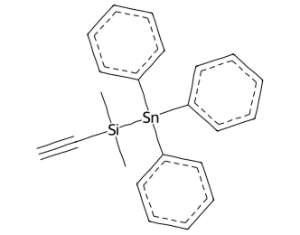 C#C[Si](C)(C)[Sn]([c]1ccccc1)([c]1ccccc1)[c]1ccccc1